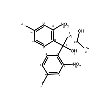 CC(C)C(O)(c1ccc(I)cc1[N+](=O)[O-])c1ccc(I)cc1[N+](=O)[O-].CC(C)CO